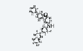 Cc1cc(-c2ccc3ccccc3c2)ccc1Nc1ccc2oc3cc(-c4ccccc4)ccc3c2c1